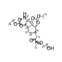 CCOC(=O)Oc1c2ccc(CC(=O)N(C)OCCO)ccc-2c(OC(=O)OCC)c1N